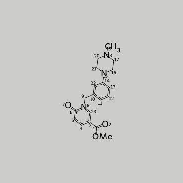 COC(=O)c1ccc(=O)n(Cc2cccc(N3CCN(C)CC3)c2)c1